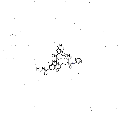 CCn1nc(C)cc1C(=O)Nc1nc2cc(C(N)=O)cc3c2n1[C@@H](CCNC(=O)/C=C/c1cnccn1)CO3